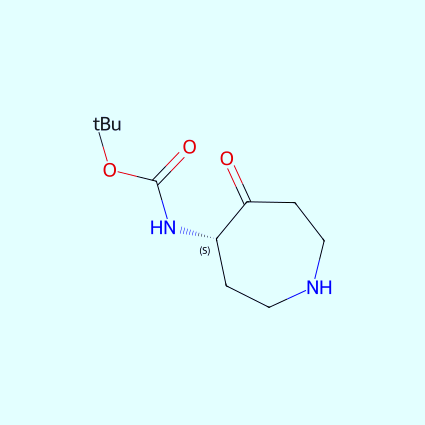 CC(C)(C)OC(=O)N[C@H]1CCNCCC1=O